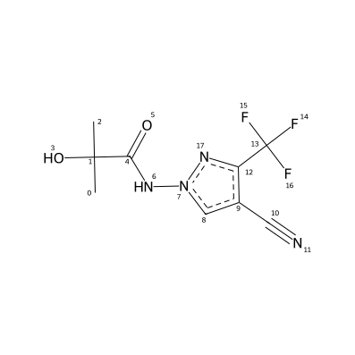 CC(C)(O)C(=O)Nn1cc(C#N)c(C(F)(F)F)n1